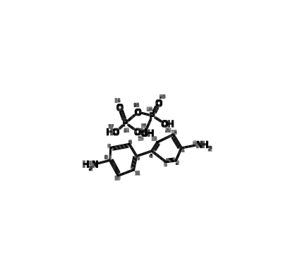 Nc1ccc(-c2ccc(N)cc2)cc1.O=P(O)(O)OP(=O)(O)O